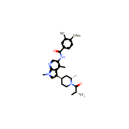 COc1ccc(C(=O)Nc2cnc3c(c([C@@H]4CCN(C(=O)[C@@H](C)C(F)(F)F)[C@@H](C)C4)cn3C)c2C)cc1C#N